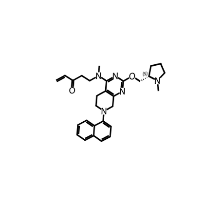 C=CC(=O)CCN(C)c1nc(OC[C@@H]2CCCN2C)nc2c1CCN(c1cccc3ccccc13)C2